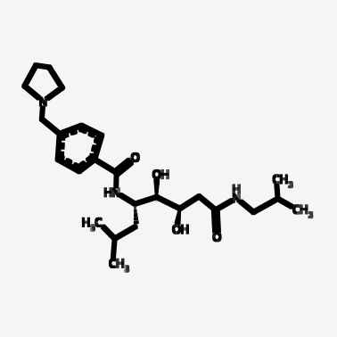 CC(C)CNC(=O)C[C@@H](O)[C@H](O)[C@H](CC(C)C)NC(=O)c1ccc(CN2CCCC2)cc1